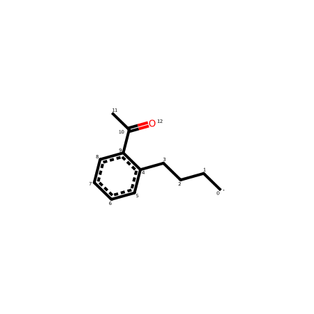 [CH2]CCCc1ccccc1C(C)=O